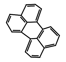 [c]1ccc2c3cccc4[c]ccc(c5cccc1c25)c43